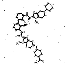 Cn1c(C(=O)Nc2cccc(-c3cccc(NC(=O)c4nc5c(n4C)CCN(CC4CCC(C(=O)O)CC4)C5)c3C#N)c2Cl)nc2c1CCN(C1CCOCC1)C2